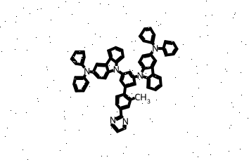 Cc1cc(-c2ncccn2)ccc1-c1cc(-n2c3ccccc3c3cc(N(c4ccccc4)c4ccccc4)ccc32)cc(-n2c3ccccc3c3cc(N(c4ccccc4)c4ccccc4)ccc32)c1